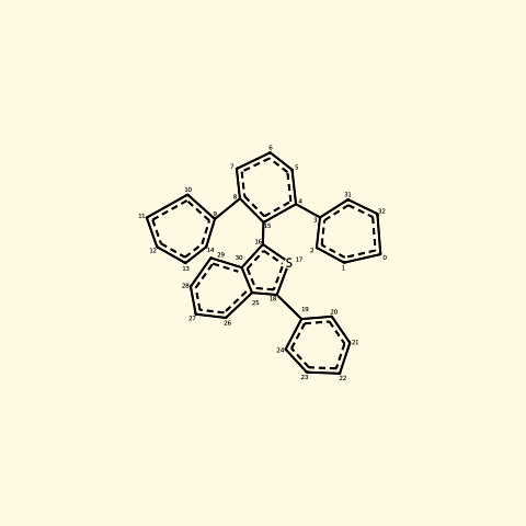 c1ccc(-c2cccc(-c3ccccc3)c2-c2sc(-c3ccccc3)c3ccccc23)cc1